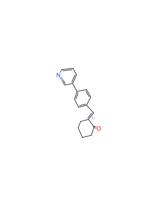 O=C1CCCC/C1=C\c1ccc(-c2cccnc2)cc1